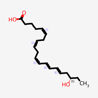 CC[C@H](O)C/C=C/C=C/C=C\C/C=C\C/C=C\CCCC(=O)O